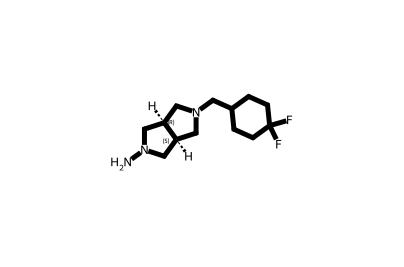 NN1C[C@@H]2CN(CC3CCC(F)(F)CC3)C[C@@H]2C1